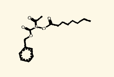 CCCCCCCC(=O)ON(C(C)=O)C(=O)OCc1ccccc1